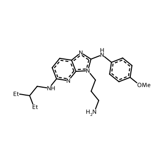 CCC(CC)CNc1ccc2nc(Nc3ccc(OC)cc3)n(CCCN)c2n1